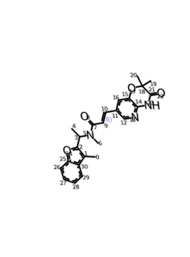 Cc1c(C(C)N(C)C(=O)/C=C/c2cnc3c(c2)OC(C)(C)C(=O)N3)oc2ccccc12